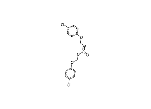 O=[PH](OCOc1ccc(Cl)cc1)OCOc1ccc(Cl)cc1